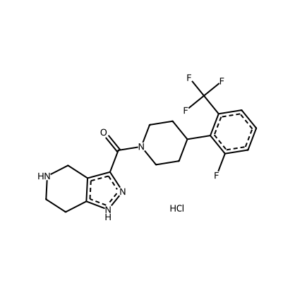 Cl.O=C(c1n[nH]c2c1CNCC2)N1CCC(c2c(F)cccc2C(F)(F)F)CC1